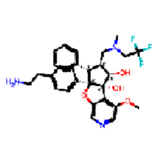 COc1cncc2c1[C@]1(O)[C@H](O)[C@H](CN(C)CC(F)(F)F)[C@@H](c3ccccc3)[C@]1(c1ccc(CCN)cc1)O2